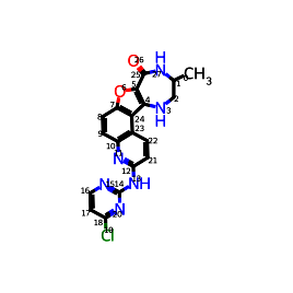 CC1CNc2c(oc3ccc4nc(Nc5nccc(Cl)n5)ccc4c23)C(=O)N1